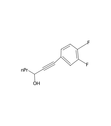 CCCC(O)C#Cc1ccc(F)c(F)c1